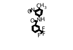 Cc1ccc(NC(=O)c2cccc(C(F)(F)F)c2)cc1N=O